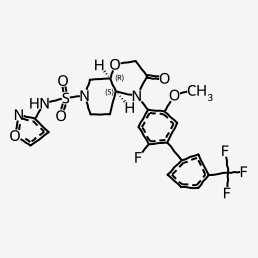 COc1cc(-c2cccc(C(F)(F)F)c2)c(F)cc1N1C(=O)CO[C@@H]2CN(S(=O)(=O)Nc3ccon3)CC[C@@H]21